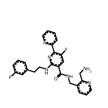 NCc1ncccc1CNC(=O)c1cc(F)c(-c2ccccn2)nc1NCCc1cccc(F)c1